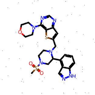 CS(=O)(=O)N1CCN(Cc2cc3ncnc(N4CCOCC4)c3s2)C(c2cccc3[nH]ncc23)C1